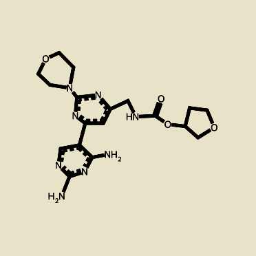 Nc1ncc(-c2cc(CNC(=O)OC3CCOC3)nc(N3CCOCC3)n2)c(N)n1